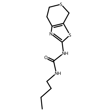 CCCCNC(=O)Nc1nc2c(s1)CSCC2